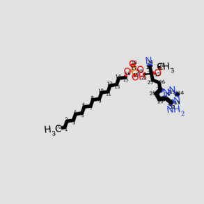 CCCCCCCCCCCCCCCCOP(=O)(O)OC[C@](C#N)(CCc1ccc2c(N)ncnn12)OC